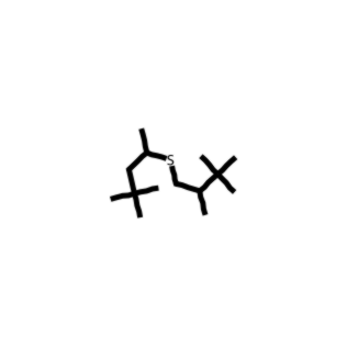 CC(CC(C)(C)C)SCC(C)C(C)(C)C